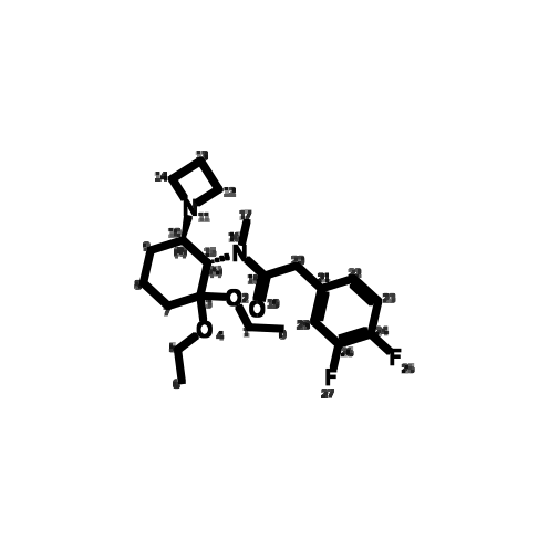 CCOC1(OCC)CCC[C@@H](N2CCC2)[C@@H]1N(C)C(=O)Cc1ccc(F)c(F)c1